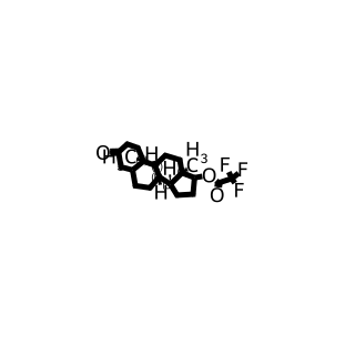 C[C@]12CCC(=O)CC1CC[C@@H]1[C@H]2CC[C@]2(C)C(OC(=O)C(F)(F)F)CC[C@@H]12